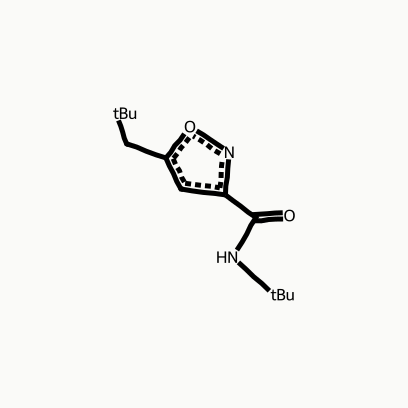 CC(C)(C)Cc1cc(C(=O)NC(C)(C)C)no1